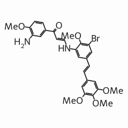 COc1ccc(C(=O)C=CNc2cc(C=Cc3cc(OC)c(OC)c(OC)c3)cc(Br)c2OC)cc1N